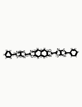 c1ccc(-c2nc3sc(-c4nc5cc6cc7oc(-c8nc9sc(-c%10ccccc%10)nc9s8)nc7cc6cc5o4)nc3s2)cc1